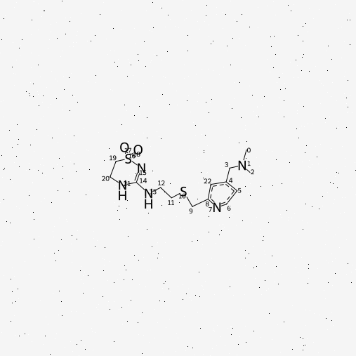 CN(C)Cc1ccnc(CSCCNC2=NS(=O)(=O)CCN2)c1